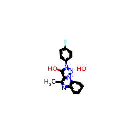 Cc1nc2ccccc2[n+]2nn(-c3ccc(F)cc3)c(O)c12.[OH-]